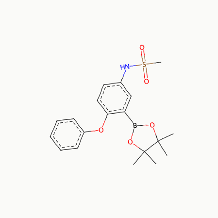 CC1(C)OB(c2cc(NS(C)(=O)=O)ccc2Oc2ccccc2)OC1(C)C